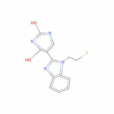 Oc1ncc(-c2nc3ccccc3n2CCF)c(O)n1